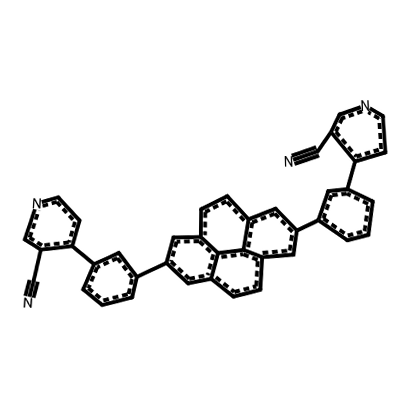 N#Cc1cnccc1-c1cccc(-c2cc3ccc4cc(-c5cccc(-c6ccncc6C#N)c5)cc5ccc(c2)c3c45)c1